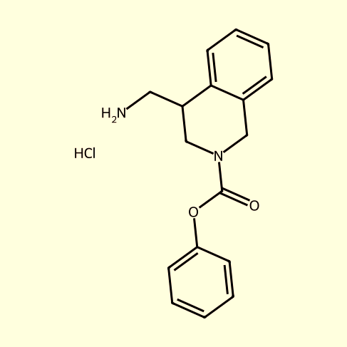 Cl.NCC1CN(C(=O)Oc2ccccc2)Cc2ccccc21